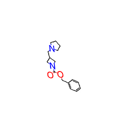 O=C(OCc1ccccc1)N1CC(CN2CCCC2)C1